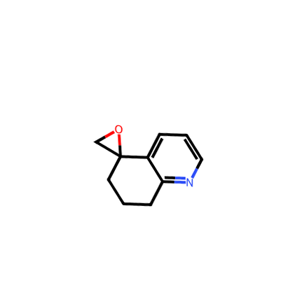 c1cnc2c(c1)C1(CCC2)CO1